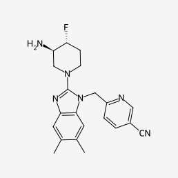 Cc1cc2nc(N3CC[C@@H](F)[C@H](N)C3)n(Cc3ccc(C#N)cn3)c2cc1C